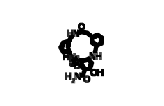 NC(=O)c1cc2c(cc1O)NCc1cccc(c1)CC(=O)NCc1cccc(c1)NS2(=O)=O